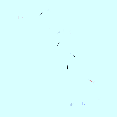 CC(=O)O[C@@H]([C@H]1C[C@@H](C)[C@H]2[C@H](O1)[C@H](O)[C@@]1(C)[C@@H]3CC[C@H]4C(C)(C)[C@@H](O[C@H]5CN(C(C)C)CCO5)CC[C@@]45C[C@@]35CC[C@]21C)C(C)(C)O